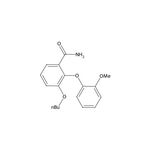 CCCCOc1cccc(C(N)=O)c1Oc1ccccc1OC